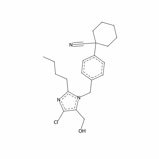 CCCCc1nc(Cl)c(CO)n1Cc1ccc(C2(C#N)CCCCC2)cc1